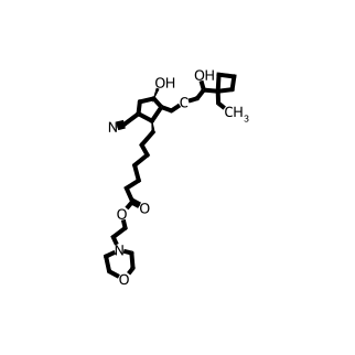 CCC1(C(O)CCCC2[C@@H](CCCCCCC(=O)OCCN3CCOCC3)C(C#N)C[C@H]2O)CCC1